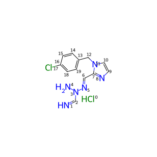 Cl.N=CN(N)/N=C/c1nccn1Cc1ccc(Cl)cc1